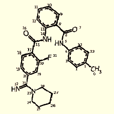 Cc1ccc(NC(=O)c2ccccc2NC(=O)c2ccc(C(=N)N3CCCCC3)cc2F)cc1